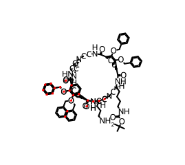 CC(C)(C)OC(=O)NCCCC[C@H]1CN2CCNC(=O)c3ccc(c(OCc4ccccc4)c3OCc3ccccc3)C(=O)NCCN(CCNC(=O)c3ccc(c(OCc4ccccc4)c3OCc3ccccc3)C(=O)N[C@@H](CCCN)C2)CCNC(=O)c2ccc(c(OCc3ccccc3)c2OCc2ccccc2)C(=O)N1